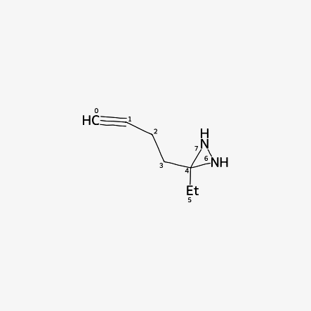 C#CCCC1(CC)NN1